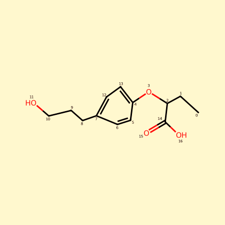 CCC(Oc1ccc(CCCO)cc1)C(=O)O